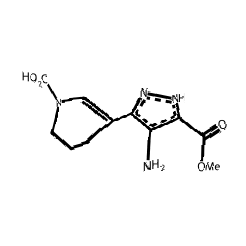 COC(=O)c1[nH]nc(C2=CN(C(=O)O)CCC2)c1N